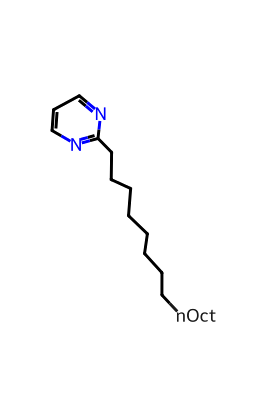 CCCCCCCCCCCCCCCCc1ncccn1